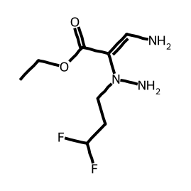 CCOC(=O)/C(=C/N)N(N)CCC(F)F